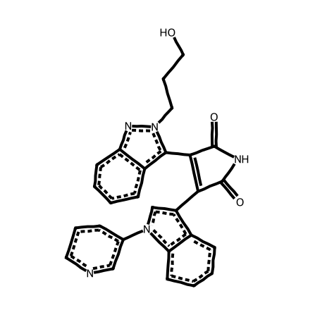 O=C1NC(=O)C(c2c3ccccc3nn2CCCO)=C1c1cn(-c2cccnc2)c2ccccc12